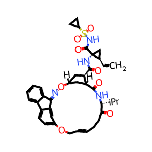 C=C[C@@H]1C[C@]1(NC(=O)[C@@H]1C[C@@H]2C[C@H]1C(=O)N[C@H](C(C)C)C(=O)CC/C=C/COc1ccc3c(c1)/C(=N\O2)c1ccccc1-3)C(=O)NS(=O)(=O)C1CC1